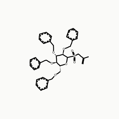 C=C(C)CS(=O)(=O)C1O[C@H](COCc2ccccc2)[C@@H](OCc2ccccc2)[C@H](OCc2ccccc2)[C@H]1OCc1ccccc1